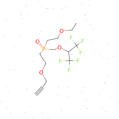 C#CCOCCP(=O)(CCOCC)COC(C(F)(F)F)C(F)(F)F